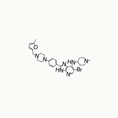 Cc1ccc(CN2CCN(c3ccc(-c4nc5c(NC6CCN(C)CC6)c(Br)cnc5[nH]4)cc3)CC2)o1